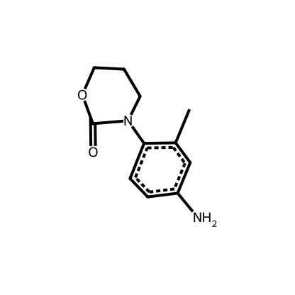 Cc1cc(N)ccc1N1CCCOC1=O